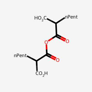 CCCCCC(C(=O)O)C(=O)OC(=O)C(CCCCC)C(=O)O